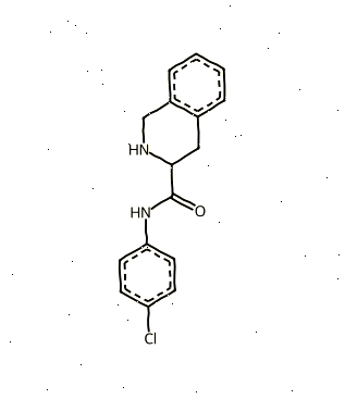 O=C(Nc1ccc(Cl)cc1)C1Cc2ccccc2CN1